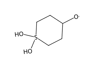 [O]C1CCS(O)(O)CC1